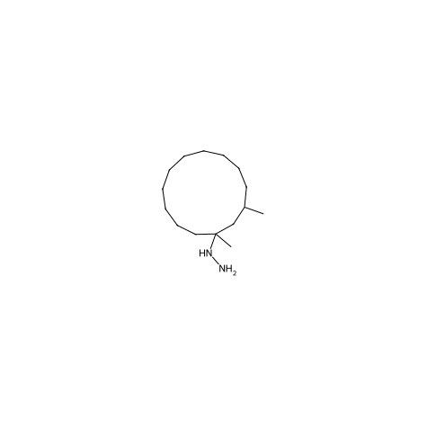 CC1CCCCCCCCCCC(C)(NN)C1